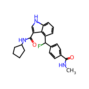 CNC(=O)c1ccc(C(F)c2cccc3[nH]cc(C(=O)NC4CCCC4)c23)cc1